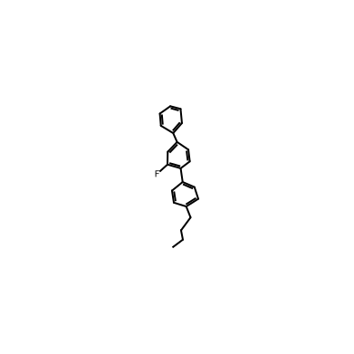 CCCCc1ccc(-c2ccc(-c3ccccc3)cc2F)cc1